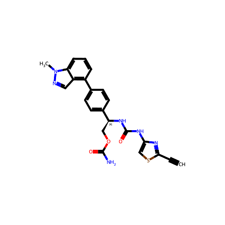 C#Cc1nc(NC(=O)N[C@@H](COC(N)=O)c2ccc(-c3cccc4c3cnn4C)cc2)cs1